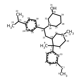 CSc1cccc(C2(C)CCN(C)CC2CC(c2ccc(C(C)C)nc2)N2CCC[C@H](O)C2)n1